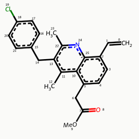 C=Cc1ccc(CC(=O)OC)c2c(C)c(Cc3ccc(Cl)cc3)c(C)nc12